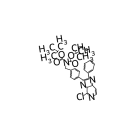 CC(C)(C)OC(=O)N(Cc1ccc(-c2nc3c(Cl)nccc3nc2-c2ccccc2)cc1)C(=O)OC(C)(C)C